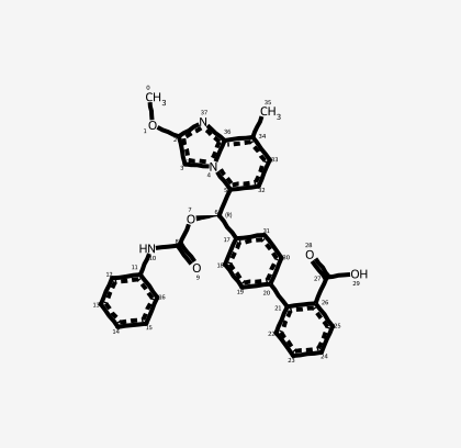 COc1cn2c([C@H](OC(=O)Nc3ccccc3)c3ccc(-c4ccccc4C(=O)O)cc3)ccc(C)c2n1